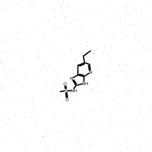 CCc1cnc2[nH]c(NS(C)(=O)=O)nc2c1